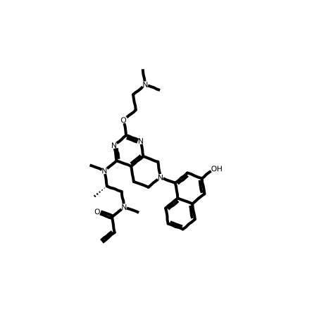 C=CC(=O)N(C)C[C@H](C)N(C)c1nc(OCCN(C)C)nc2c1CCN(c1cc(O)cc3ccccc13)C2